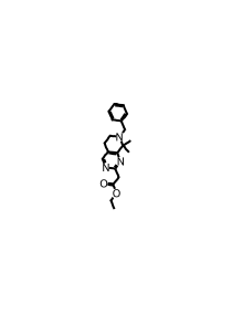 CCOC(=O)Cc1ncc2c(n1)C(C)(C)N(Cc1ccccc1)CC2